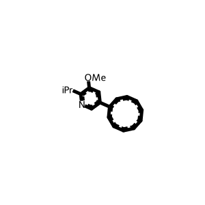 COc1cc(-c2ccccccccc2)cnc1C(C)C